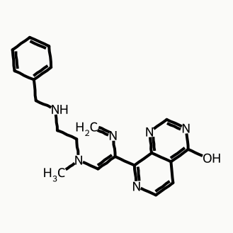 C=N/C(=C\N(C)CCNCc1ccccc1)c1nccc2c(O)ncnc12